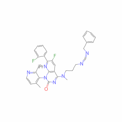 Cc1ccnc(C(C)C)c1-n1c(=O)nc(N(C)CCCN=C=NCc2ccccc2)c2cc(F)c(-c3ccccc3F)nc21